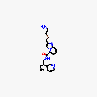 CC(C)CC(CNC(=O)c1cccc2nc(CSCCN)cn12)c1cccnc1